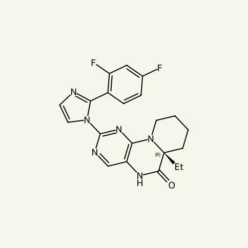 CC[C@]12CCCCN1c1nc(-n3ccnc3-c3ccc(F)cc3F)ncc1NC2=O